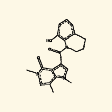 Cc1cn(C)c(=O)c2c(C(=O)N3CCCc4cccc(O)c43)cn(C)c12